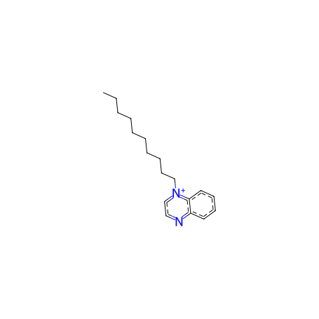 CCCCCCCCCC[n+]1ccnc2ccccc21